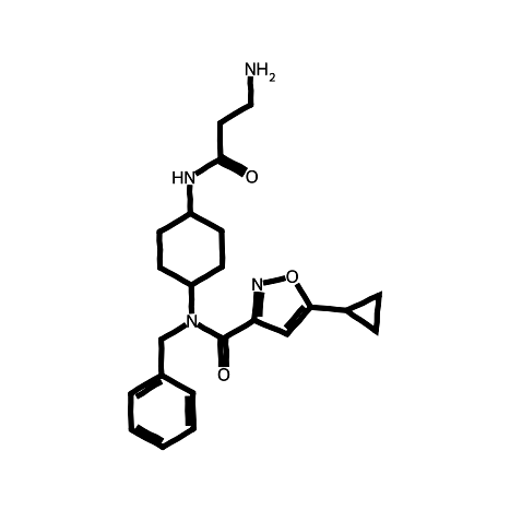 NCCC(=O)NC1CCC(N(Cc2ccccc2)C(=O)c2cc(C3CC3)on2)CC1